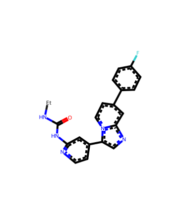 CCNC(=O)Nc1cc(-c2cnc3cc(-c4ccc(F)cc4)ccn23)ccn1